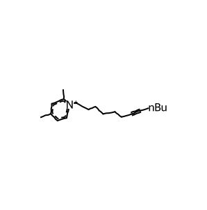 CCCCC#CCCCCCC[n+]1ccc(C)cc1C